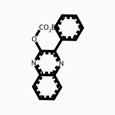 CCOC(=O)Oc1nc2ccccc2nc1-c1ccccc1